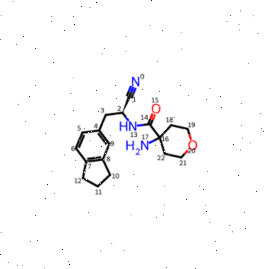 N#C[C@H](Cc1ccc2c(c1)CCC2)NC(=O)C1(N)CCOCC1